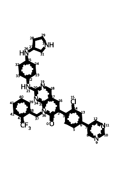 O=c1c(-c2ccc(-c3cncnc3)cc2Cl)cc2cnc(Nc3ccc(NC4CCNC4)cc3)nc2n1Cc1ccccc1C(F)(F)F